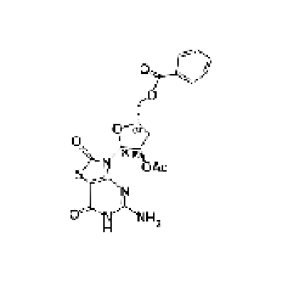 CC(=O)O[C@@H]1C[C@@H](COC(=O)c2ccccc2)O[C@H]1n1c(=O)sc2c(=O)[nH]c(N)nc21